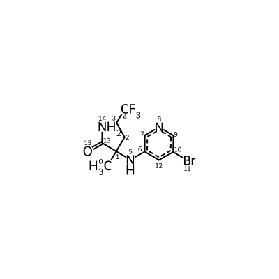 CC(CCC(F)(F)F)(Nc1cncc(Br)c1)C(N)=O